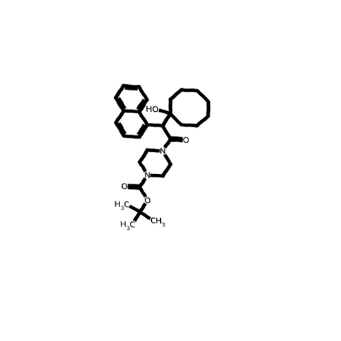 CC(C)(C)OC(=O)N1CCN(C(=O)C(c2cccc3ccccc23)C2(O)CCCCCCC2)CC1